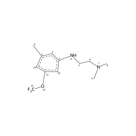 Cc1cc(NCCN(C)C)cc(OC(F)(F)F)c1